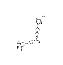 O=C(C1CC(OCC2(C(F)(F)F)CC2)C1)N1CC2(CC(n3cnc(C4CC4)n3)C2)C1